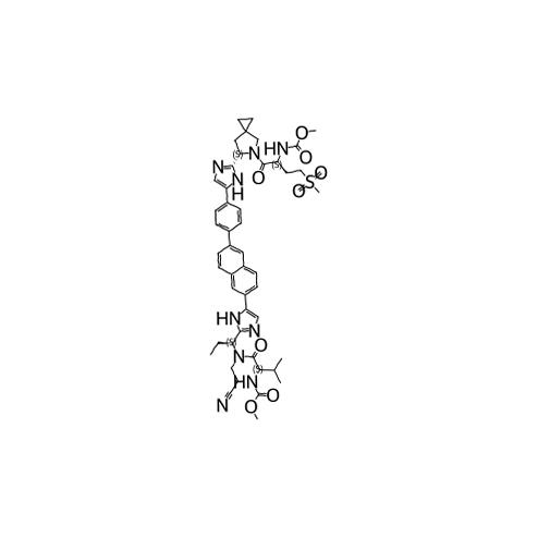 CC[C@@H](c1ncc(-c2ccc3cc(-c4ccc(-c5cnc([C@@H]6CC7(CC7)CN6C(=O)[C@H](CCS(C)(=O)=O)NC(=O)OC)[nH]5)cc4)ccc3c2)[nH]1)N(CCC#N)C(=O)[C@@H](NC(=O)OC)C(C)C